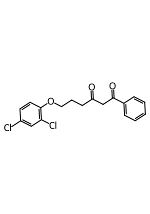 O=C(CCCOc1ccc(Cl)cc1Cl)CC(=O)c1ccccc1